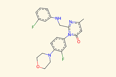 Cc1cc(=O)n(-c2ccc(N3CCOCC3)c(F)c2)c(CNc2cccc(F)c2)n1